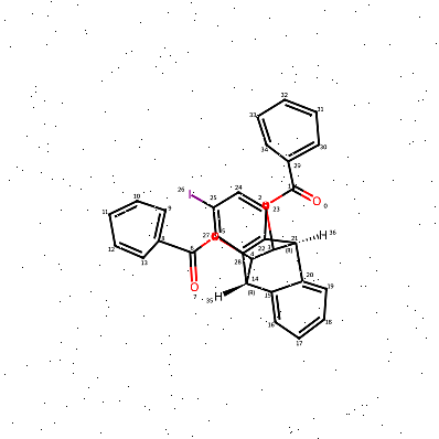 O=C(OC1C(OC(=O)c2ccccc2)[C@@H]2c3ccccc3[C@@H]1c1ccc(I)cc12)c1ccccc1